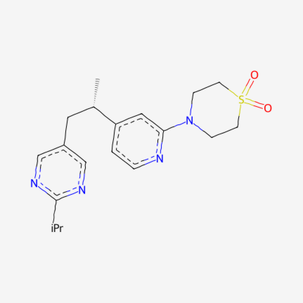 CC(C)c1ncc(C[C@H](C)c2ccnc(N3CCS(=O)(=O)CC3)c2)cn1